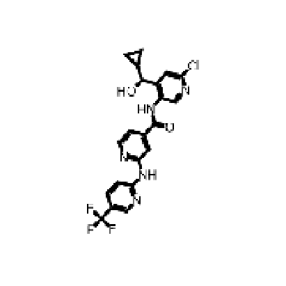 O=C(Nc1cnc(Cl)cc1C(O)C1CC1)c1ccnc(Nc2ccc(C(F)(F)F)cn2)c1